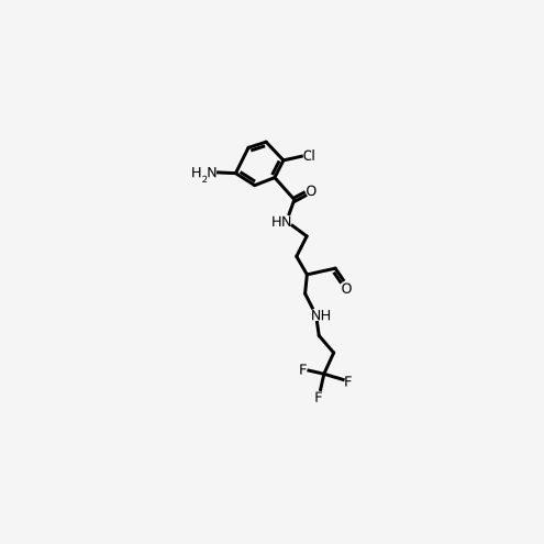 Nc1ccc(Cl)c(C(=O)NCCC(C=O)CNCCC(F)(F)F)c1